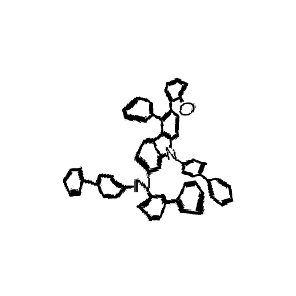 c1ccc(-c2ccc(N(c3cccc(-c4ccccc4)c3)c3ccc4c5c(-c6ccccc6)c6c(cc5n(-c5ccc(-c7ccccc7)cc5)c4c3)oc3ccccc36)cc2)cc1